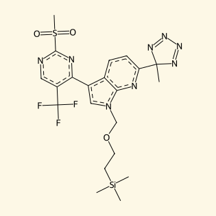 CC1(c2ccc3c(-c4nc(S(C)(=O)=O)ncc4C(F)(F)F)cn(COCC[Si](C)(C)C)c3n2)N=NN=N1